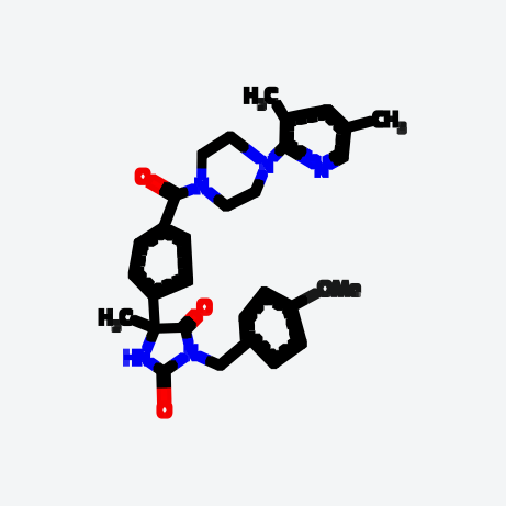 COc1ccc(CN2C(=O)NC(C)(c3ccc(C(=O)N4CCN(c5ncc(C)cc5C)CC4)cc3)C2=O)cc1